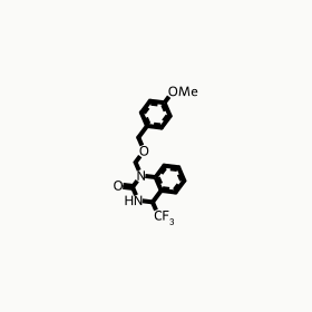 COc1ccc(COCN2C(=O)NC(C(F)(F)F)c3ccccc32)cc1